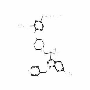 CCOC(=O)Cc1ccc(OC2CCN(CC(O)(c3cn(Cc4ccncc4)c4cc(C#N)ccc34)C(F)(F)F)CC2)c(OC)c1